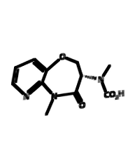 CN1C(=O)[C@@H](N(C)C(=O)O)COc2cccnc21